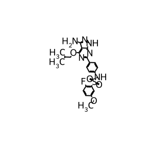 COc1ccc(F)c(S(=O)(=O)Nc2ccc(-c3nc(OCC(C)C)c4c(N)n[nH]c4n3)cc2)c1